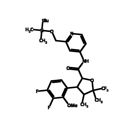 COc1c(C2C(C(=O)Nc3ccnc(CO[Si](C)(C)C(C)(C)C)c3)OC(C)(C(F)(F)F)C2C)ccc(F)c1F